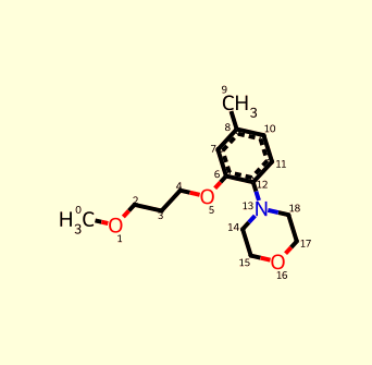 COCCCOc1cc(C)ccc1N1CCOCC1